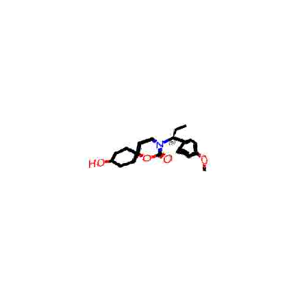 CC[C@@H](c1ccc(OC)cc1)N1CCC2(CCC(O)CC2)OC1=O